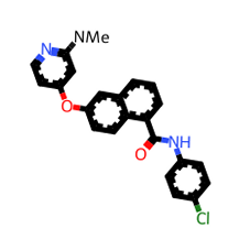 CNc1cc(Oc2ccc3c(C(=O)Nc4ccc(Cl)cc4)cccc3c2)ccn1